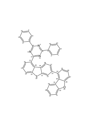 c1ccc(-c2nc(-c3ccccc3)nc(-c3cccc4sc5cc(-c6cccc7oc8ccccc8c67)ccc5c34)n2)cc1